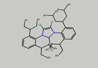 CC(C)CC(CC(C)C)c1cccc(C(CC(C)C)CC(C)C)c1N1C(Cl)=C(Cl)N(c2c(C(CC(C)C)CC(C)C)cccc2C(CC(C(C)C)C(C)C)CC(C(C)C)C(C)C)[CH]1[Pd][Cl]